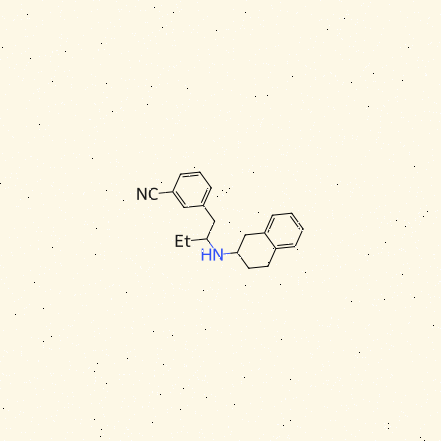 CCC(Cc1cccc(C#N)c1)NC1CCc2ccccc2C1